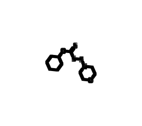 S=C(OC1CCCCC1)SSN1CCOCC1